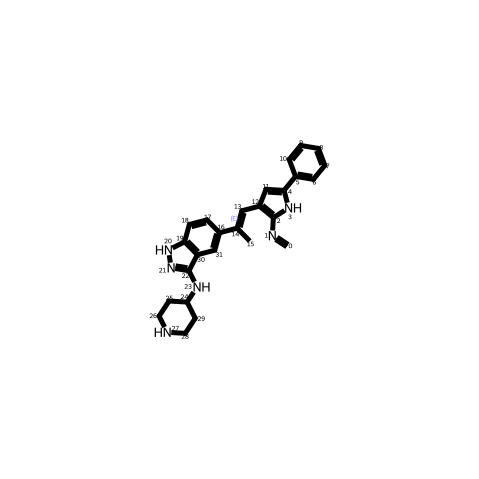 C=Nc1[nH]c(-c2ccccc2)cc1/C=C(\C)c1ccc2[nH]nc(NC3CCNCC3)c2c1